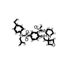 CCc1ccc(N(CC(C)C)S(=O)(=O)c2ccc(NCC3(N4CCCC4)COC3)c(S(C)(=N)=O)c2)cc1